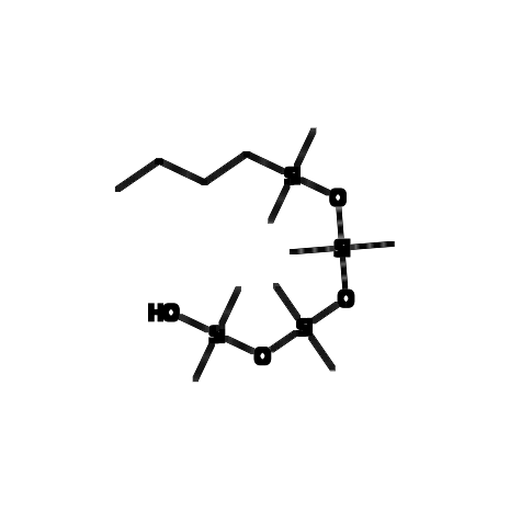 CCCC[Si](C)(C)O[Si](C)(C)O[Si](C)(C)O[Si](C)(C)O